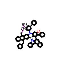 C=PCc1c2ccccc2c(Cc2ccccc2)c2cc3c(cc12)N(c1cc(P=C)cc(-c2ccccc2)c1)c1cc2oc4ccccc4c2c2c1B3n1c3ccccc3c3c4ccccc4cc-2c31